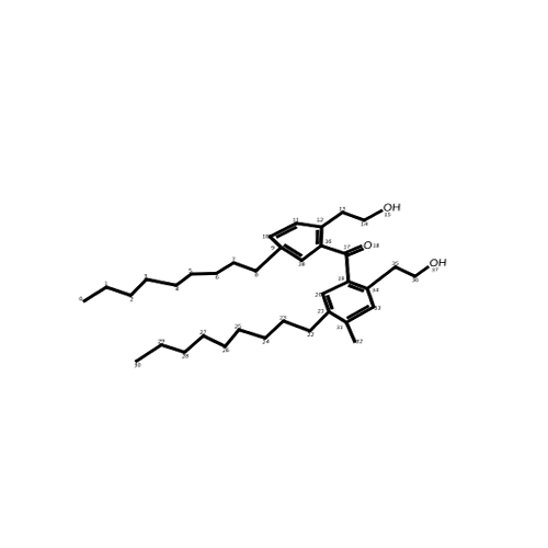 CCCCCCCCCc1ccc(CCO)c(C(=O)c2cc(CCCCCCCCC)c(C)cc2CCO)c1